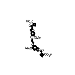 COc1cc2c(cc1OCCCOc1cc3cc(C(=O)[C@@H]4CC[C@H]4C(=O)O)sc3cc1OC)CN(C(=O)[C@@H]1CC[C@H]1C(=O)O)C2